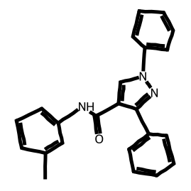 Cc1cccc(NC(=O)c2cn(-c3ccccc3)nc2-c2ccccc2)c1